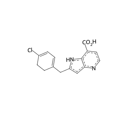 O=C(O)c1ccnc2cc(CC3=CC=C(Cl)CC3)[nH]c12